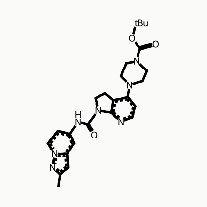 Cc1cc2cc(NC(=O)N3CCc4c(N5CCN(C(=O)OC(C)(C)C)CC5)ccnc43)ccn2n1